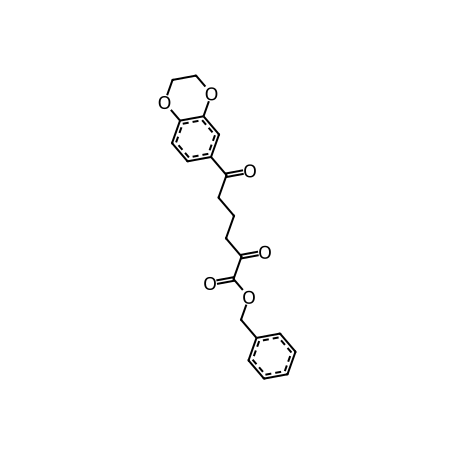 O=C(CCCC(=O)c1ccc2c(c1)OCCO2)C(=O)OCc1ccccc1